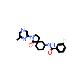 Cc1cncc(N2CCC3(CCCC(NC(=O)c4cccc(F)c4)C3)C2=O)n1